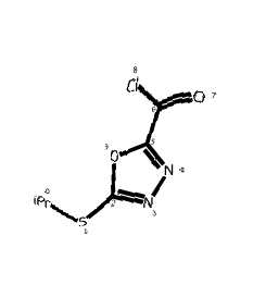 CC(C)Sc1nnc(C(=O)Cl)o1